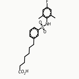 Cc1cc(F)cc(C)c1NS(=O)(=O)c1cccc(CCCCCCC(=O)O)c1